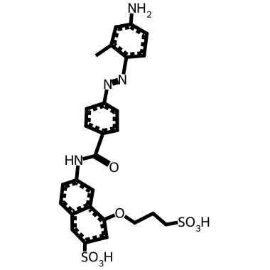 Cc1cc(N)ccc1N=Nc1ccc(C(=O)Nc2ccc3cc(S(=O)(=O)O)cc(OCCCS(=O)(=O)O)c3c2)cc1